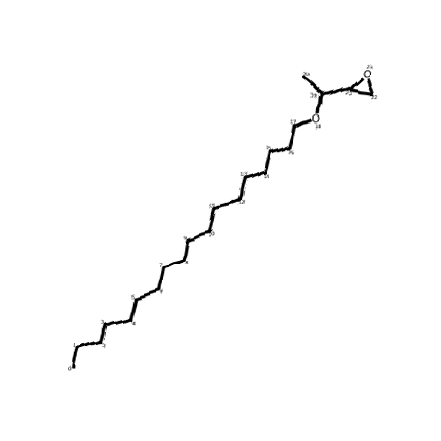 CCCCCCCCCCCCCCCCCCOC(C)C1CO1